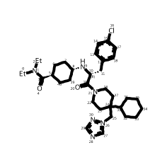 CCN(CC)C(=O)[C@H]1CC[C@H](N[C@H](Cc2ccc(Cl)cc2)C(=O)N2CCC(Cn3cncn3)(C3CCCCC3)CC2)CC1